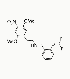 COc1cc([N+](=O)[O-])c(OC)cc1CCNCc1ccccc1OC(F)F